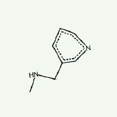 CN[CH]c1cccnc1